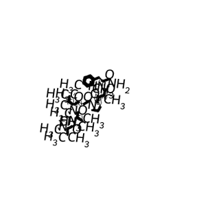 CC[C@H](C)C([C@@H](CC(=O)N1CCC[C@H]1[C@H](OC)[C@@H](C)C(=O)N[C@@H](Cc1ccc(C)cc1)C(N)=O)OC)N(C)C(=O)[C@@H](NC(=O)C(C(C)C)N(C)C)C(C)C